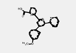 COc1ccc(-c2cc(-c3ccccn3)nc(-c3cccc(C(=O)O)n3)c2)cc1